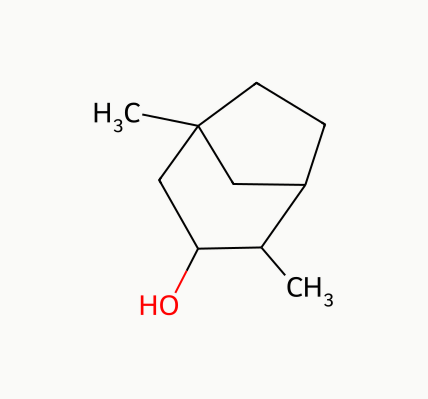 CC1C(O)CC2(C)CCC1C2